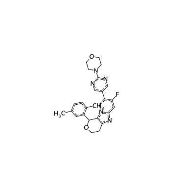 Cc1ccc(C)c(C2OCCc3nc4cc(F)c(-c5cnc(N6CCOCC6)nc5)cn4c32)c1